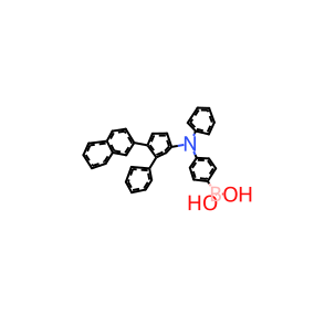 OB(O)c1ccc(N(c2ccccc2)c2ccc(-c3ccc4ccccc4c3)c(-c3ccccc3)c2)cc1